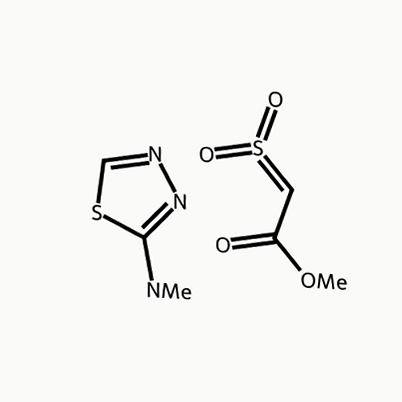 CNc1nncs1.COC(=O)C=S(=O)=O